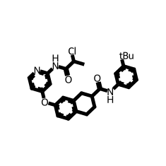 CC(Cl)C(=O)Nc1cc(Oc2ccc3c(c2)CC(C(=O)Nc2cccc(C(C)(C)C)c2)CC3)ccn1